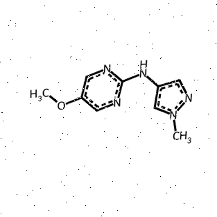 COc1cnc(Nc2cnn(C)c2)nc1